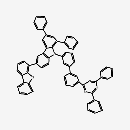 c1ccc(-c2cc(-c3ccccc3)c3c(c2)c2cc(-c4cccc5c4sc4ccccc45)ccc2n3-c2cccc(-c3cccc(-c4nc(-c5ccccc5)nc(-c5ccccc5)n4)c3)c2)cc1